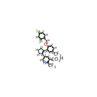 O=C(O)c1cc(C2=C(c3cc(C(F)(F)F)ccc3OCc3ccc(F)cc3F)CCC2)cnc1C(F)(F)F